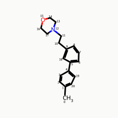 Cc1ccc(-c2cccc(CCN3CCOCC3)c2)cc1